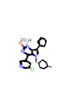 C[C@H]1CC[C@H](Cn2cc(-c3ccccc3)c3nc(OC(=O)O)nc(-c4cncc(Cl)c4)c32)CC1